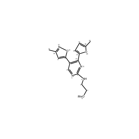 COCCNc1ncc(-c2cc(C)no2)c(-c2ccc(C)o2)n1